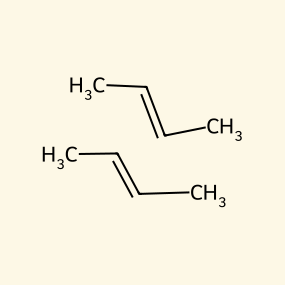 C/C=C/C.CC=CC